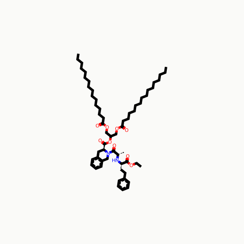 CCCCCCCCCCCCCCCC(=O)OCC(COC(=O)CCCCCCCCCCCCCCC)OC(=O)[C@@H]1Cc2ccccc2CN1C(=O)[C@H](C)N[C@@H](CCc1ccccc1)C(=O)OCC